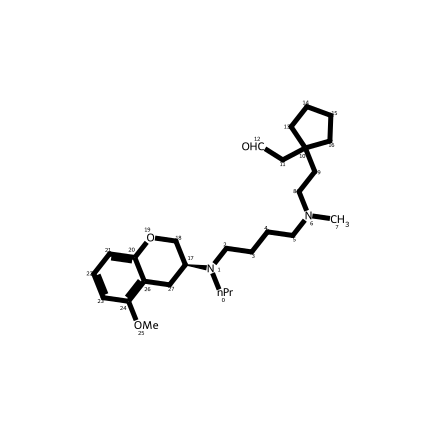 CCCN(CCCCN(C)CCC1(CC=O)CCCC1)[C@@H]1COc2cccc(OC)c2C1